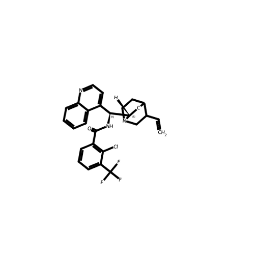 C=CC1CN2CCC1C[C@H]2[C@@H](NC(=O)c1cccc(C(F)(F)F)c1Cl)c1ccnc2ccccc12